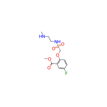 CNCCNS(=O)(=O)COc1ccc(F)cc1C(=O)OC